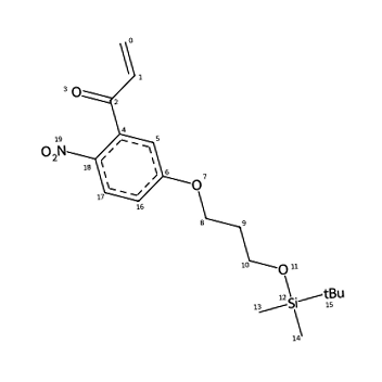 C=CC(=O)c1cc(OCCCO[Si](C)(C)C(C)(C)C)ccc1[N+](=O)[O-]